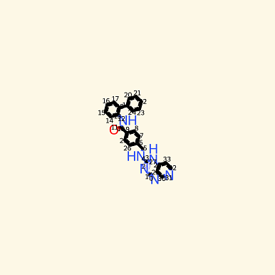 N#C/N=C(/NCc1ccc(C(=O)Nc2ccccc2-c2ccccc2)cc1)Nc1ccncc1